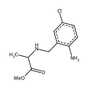 COC(=O)C(C)NCc1cc(Cl)ccc1N